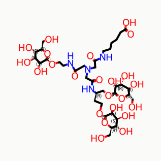 O=C(O)CCCCCNC(=O)CN(CC(=O)NCCO[C@@H]1O[C@H](CO)[C@@H](O)[C@H](O)[C@@H]1O)CC(=O)N[C@H](CCO[C@H]1O[C@H](CO)[C@@H](O)[C@H](O)[C@@H]1O)CO[C@@H]1O[C@@H](CO)[C@H](O)[C@@H](O)[C@H]1O